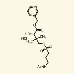 CC(=O)NCCCS(=O)(=O)OCC(C)(C)[C@@H](O)C(=O)OCc1cccnc1.Cl